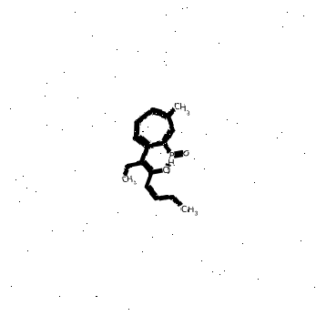 CC/C=C\C1=C(CC)C2=CCC=C(C)C=C2[PH](=O)O1